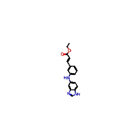 CCOC(=O)C=Cc1cccc(Nc2ccc3[nH]cnc3c2)c1